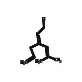 C=CC/C(C=C(C)C)=N/CCl